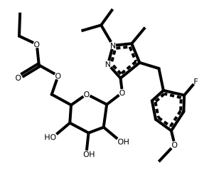 CCOC(=O)OCC1OC(Oc2nn(C(C)C)c(C)c2Cc2ccc(OC)cc2F)C(O)C(O)C1O